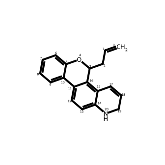 C=CCC1Oc2ccccc2-c2ccc3c(c21)C=CCN3